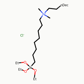 CCCCCCCCCCCC[N+](C)(C)CCCCCCCC[Si](OCC)(OCC)OCC.[Cl-]